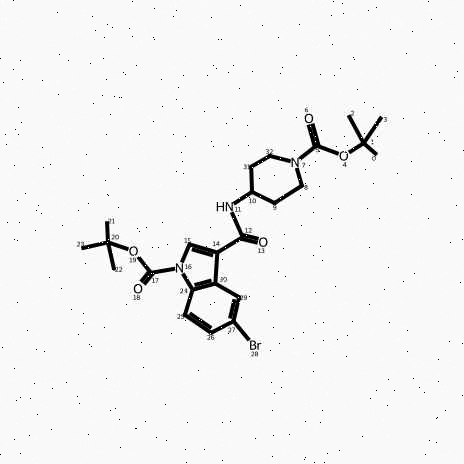 CC(C)(C)OC(=O)N1CCC(NC(=O)c2cn(C(=O)OC(C)(C)C)c3ccc(Br)cc23)CC1